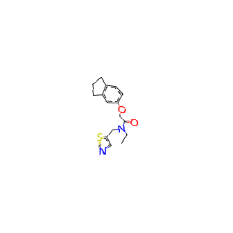 CCN(Cc1cncs1)C(=O)COc1ccc2c(c1)CCC2